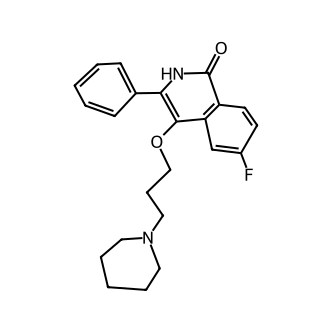 O=c1[nH]c(-c2ccccc2)c(OCCCN2CCCCC2)c2cc(F)ccc12